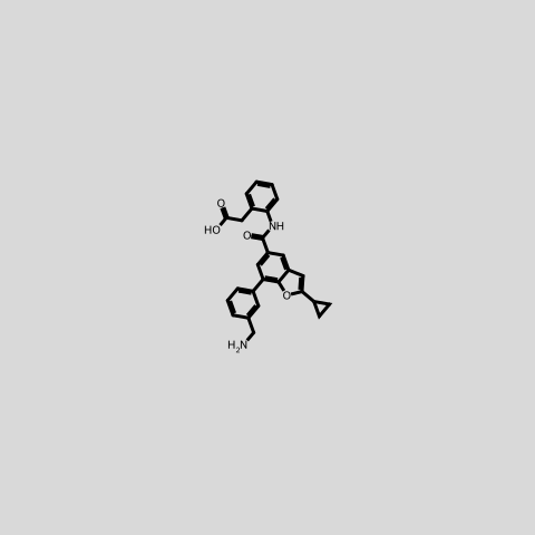 NCc1cccc(-c2cc(C(=O)Nc3ccccc3CC(=O)O)cc3cc(C4CC4)oc23)c1